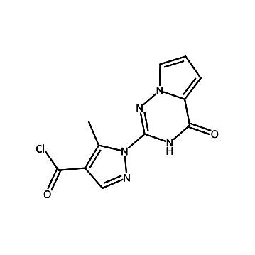 Cc1c(C(=O)Cl)cnn1-c1nn2cccc2c(=O)[nH]1